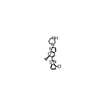 Clc1cccc2sc(C3=Cc4ccc(N5CCCNCC5)nc4OC3=C3CC3)nc12